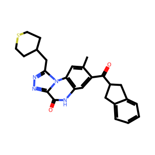 Cc1cc2c(cc1C(=O)C1Cc3ccccc3C1)[nH]c(=O)c1nnc(CC3CCSCC3)n12